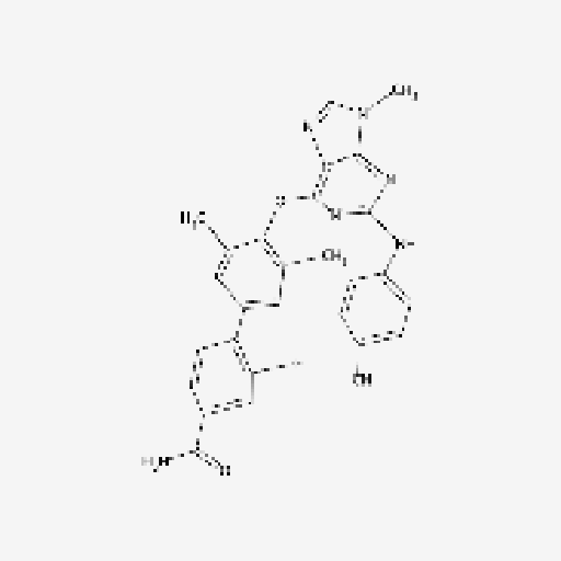 Cc1cc(-c2ccc(C(N)=O)cc2F)cc(C)c1Oc1nc(Nc2ccc(C#N)cc2)nc2c1ncn2C